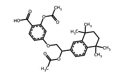 CC(=O)Oc1cc(OCC(OC(C)=O)c2ccc3c(c2)C(C)(C)CCC3(C)C)ccc1C(=O)O